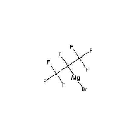 FC(F)(F)[C](F)([Mg][Br])C(F)(F)F